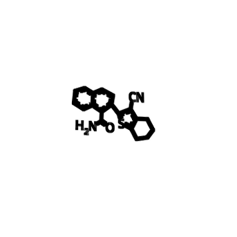 N#Cc1c(-c2ccc3ccccc3c2C(N)=O)sc2c1CCCC2